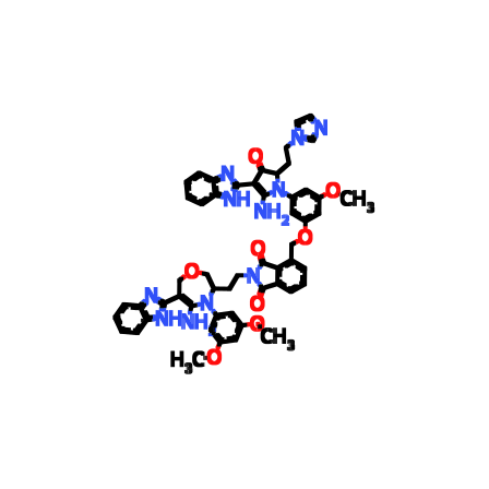 COc1cc(OC)cc(N2C(N)=C(c3nc4ccccc4[nH]3)COCC2CCN2C(=O)c3cccc(COc4cc(OC)cc(N5C(N)=C(c6nc7ccccc7[nH]6)C(=O)C5CCn5ccnc5)c4)c3C2=O)c1